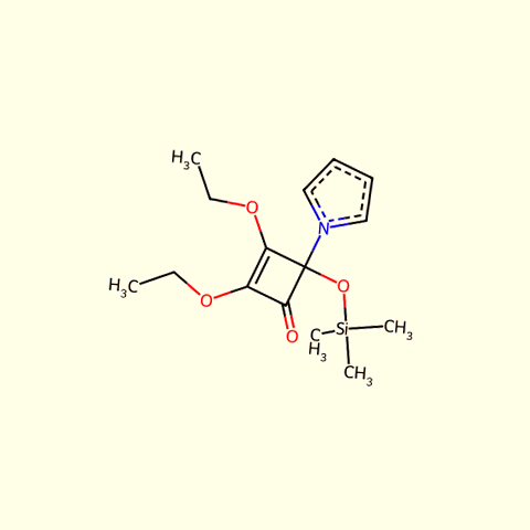 CCOC1=C(OCC)C(O[Si](C)(C)C)(n2cccc2)C1=O